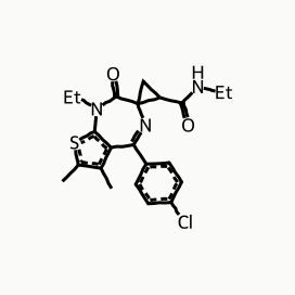 CCNC(=O)C1CC12N=C(c1ccc(Cl)cc1)c1c(sc(C)c1C)N(CC)C2=O